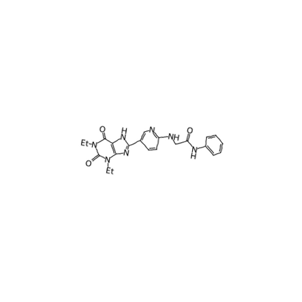 CCn1c(=O)c2[nH]c(-c3ccc(NCC(=O)Nc4ccccc4)nc3)nc2n(CC)c1=O